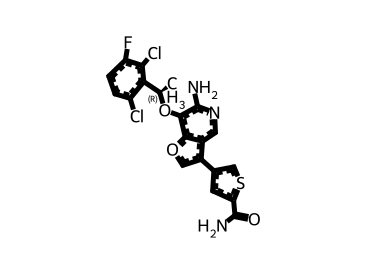 C[C@@H](Oc1c(N)ncc2c(-c3csc(C(N)=O)c3)coc12)c1c(Cl)ccc(F)c1Cl